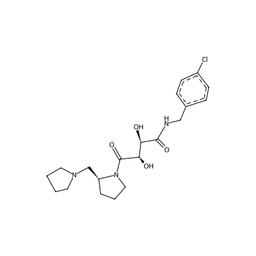 O=C(NCc1ccc(Cl)cc1)[C@H](O)[C@@H](O)C(=O)N1CCC[C@H]1CN1CCCC1